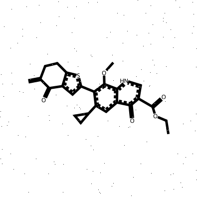 C=C1CCc2sc(-c3c(C4CC4)cc4c(=O)c(C(=O)OCC)c[nH]c4c3OC)cc2C1=O